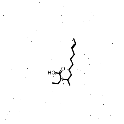 CC=CCCCCCC(C)N(CC)C(=O)O